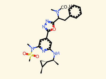 C[C@H](Nc1cc(-c2nnc(C(Cc3ccccc3)N(C)C(=O)O)o2)cc(N(C)S(C)(=O)=O)n1)[C@H]1C[C@@H]1C